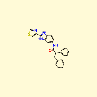 O=C(Nc1ccc2c(c1)NC(c1cscn1)=[N+]2)C(Cc1ccccc1)c1ccccc1